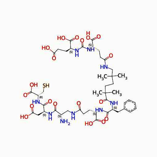 CC(C)(CCC(C)(C)C(=O)N[C@@H](Cc1ccccc1)C(=O)N[C@@H](CCC(=O)NC[C@H](N)C(=O)N[C@@H](CC(=O)O)C(=O)N[C@@H](CS)C(=O)O)C(=O)O)CNC(=O)CC[C@H](NC(=O)N[C@@H](CCC(=O)O)C(=O)O)C(=O)O